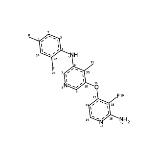 Cc1ccc(Nc2cncc(Oc3ccnc(N)c3F)c2C)c(F)c1